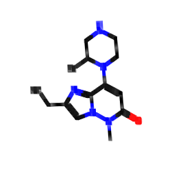 CCC1CNCCN1c1cc(=O)n(C)n2cc(CC#N)nc12